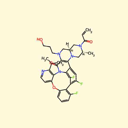 C=CC(=O)N1C[C@@H]2CN(CCCO)c3c(c4cc(F)c5c(F)c4n(c3=O)c3c(C(C)C)nccc3oc3cccc(F)c35)N2C[C@H]1C